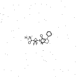 NC(=O)C12CC(n3nc4n(c3=O)C(c3ccccc3)CC4)(C1)C2(F)F